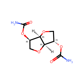 NC(=O)O[C@H]1CO[C@H]2[C@@H]1OC[C@H]2OC(N)=O